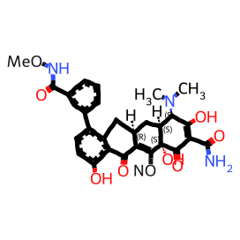 CONC(=O)c1cccc(-c2ccc(O)c3c2C[C@H]2C[C@H]4[C@H](N(C)C)C(O)=C(C(N)=O)C(=O)[C@@]4(O)C(N=O)=C2C3=O)c1